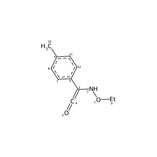 CCONC(=C=O)c1ccc(C)cc1